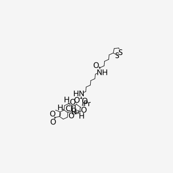 CC(C)[C@]12O[C@H]1[C@@H]1O[C@]13[C@]1(O[C@H]1C[C@H]1C4=C(CC[C@@]13C)C(=O)OC4)[C@@H]2OC(=O)NCCCCCCNC(=O)CCCCC1CCSS1